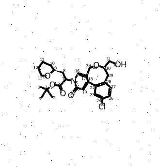 CC(C)(C)OC(=O)C(C[C@@H]1CCCCO1)n1cc2c(cc1=O)-c1cc(Cl)ccc1CC(CO)OC2